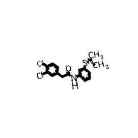 CN(C)Sc1cccc(NC(=O)Cc2ccc(Cl)c(Cl)c2)c1